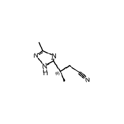 Cc1n[nH]c([C@H](C)CC#N)n1